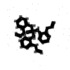 C=CCc1ccccc1OP(=O)(Oc1ccccc1CC=C)Sc1ccccc1CC=C